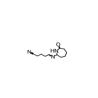 N#CCCCC=NC1CCCCC(=O)N1